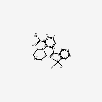 O=C(c1ccccc1C(F)(F)F)c1cnnc(C(=O)O)c1N1CCNCC1